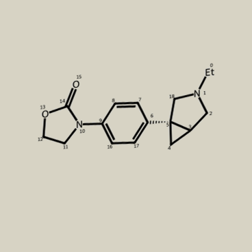 CCN1CC2C[C@@]2(c2ccc(N3CCOC3=O)cc2)C1